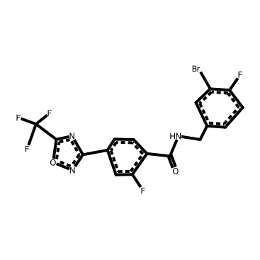 O=C(NCc1ccc(F)c(Br)c1)c1ccc(-c2noc(C(F)(F)F)n2)cc1F